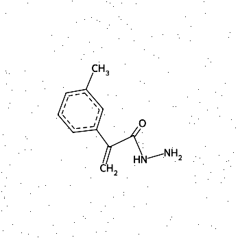 C=C(C(=O)NN)c1cccc(C)c1